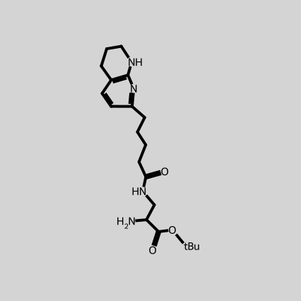 CC(C)(C)OC(=O)C(N)CNC(=O)CCCCc1ccc2c(n1)NCCC2